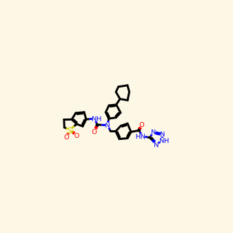 O=C(Nc1nn[nH]n1)c1ccc(CN(C(=O)Nc2ccc3c(c2)S(=O)(=O)CC3)c2ccc(C3CCCCC3)cc2)cc1